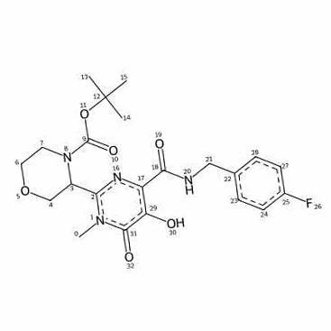 Cn1c(C2COCCN2C(=O)OC(C)(C)C)nc(C(=O)NCc2ccc(F)cc2)c(O)c1=O